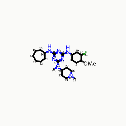 COC1CCC(Nc2nc(NC3CCCCCC3)nc(N(C)C3CCN(C)CC3)n2)CC1F